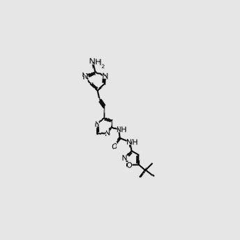 CC(C)(C)c1cc(NC(=O)Nc2cc(C#Cc3cnc(N)nc3)ncn2)no1